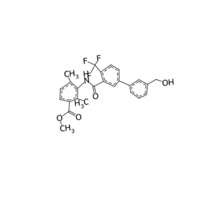 COC(=O)c1ccc(C)c(NC(=O)c2cc(-c3cccc(CO)c3)ccc2C(F)(F)F)c1C